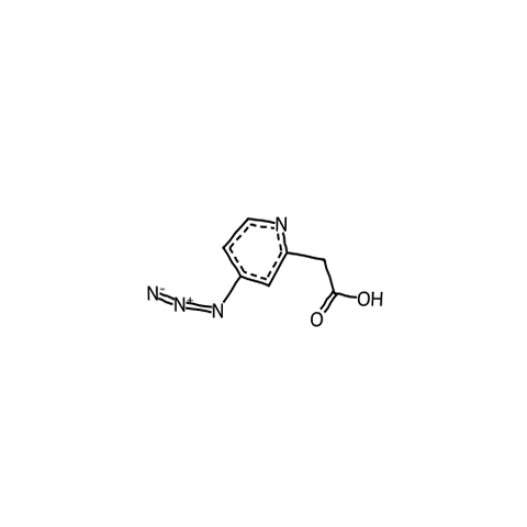 [N-]=[N+]=Nc1ccnc(CC(=O)O)c1